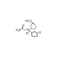 CC[C@](OCC(N)=O)(c1cccc(Cl)c1)C1CCCN(C(=O)O)C1